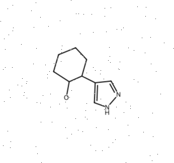 [O]C1CCCCC1c1cn[nH]c1